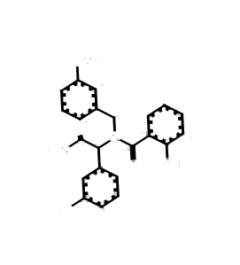 COc1cccc(CN(C(=O)c2ccccc2O)C(C(N)=O)c2cccc(F)c2)c1